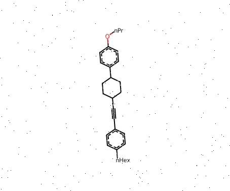 CCCCCCc1ccc(C#CC2CCC(c3ccc(OCCC)cc3)CC2)cc1